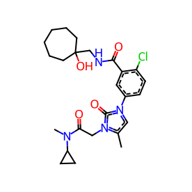 Cc1cn(-c2ccc(Cl)c(C(=O)NCC3(O)CCCCCC3)c2)c(=O)n1CC(=O)N(C)C1CC1